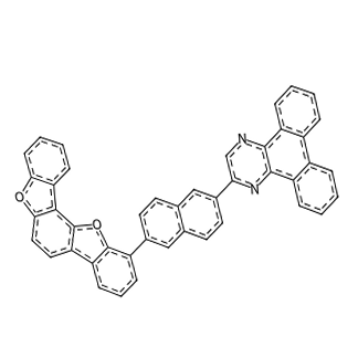 c1ccc2c(c1)oc1ccc3c4cccc(-c5ccc6cc(-c7cnc8c9ccccc9c9ccccc9c8n7)ccc6c5)c4oc3c12